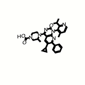 Cc1ccnc(C(C)C)c1-n1c(=O)nc(N2CCN(C(=O)O)CC2C)c2cc(C3CC3)c(-c3ccccc3)nc21